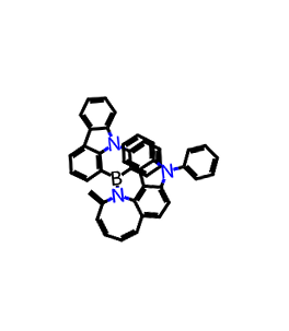 C=C1/C=C\C=C/c2ccc3c(c2N1B1c2ccccc2-n2c4ccccc4c4cccc1c42)c1ccccc1n3-c1ccccc1